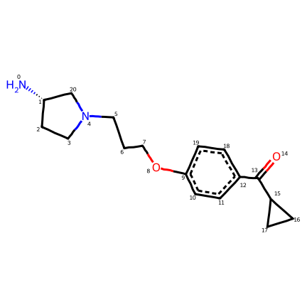 N[C@H]1CCN(CCCOc2ccc(C(=O)C3CC3)cc2)C1